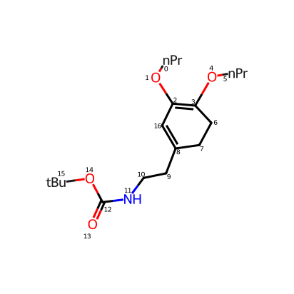 CCCOC1=C(OCCC)CCC(CCNC(=O)OC(C)(C)C)=C1